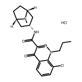 CCCn1nc(C(=O)N[C@H]2C[C@H]3CC[C@@H](C2)N3C)c(=O)c2cccc(Cl)c21.Cl